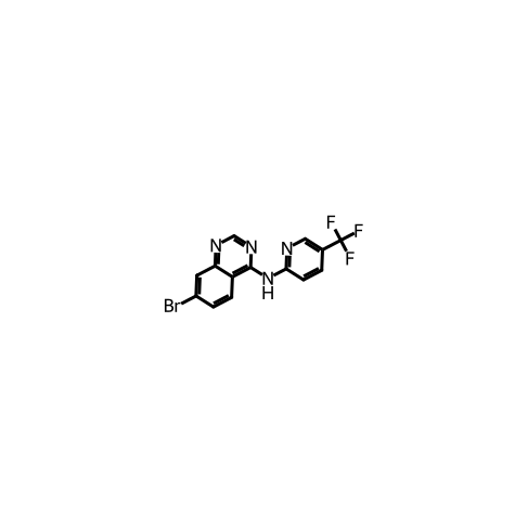 FC(F)(F)c1ccc(Nc2ncnc3cc(Br)ccc23)nc1